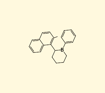 Cc1ccc2ccccc2c1C1CCCCB1c1ccccc1